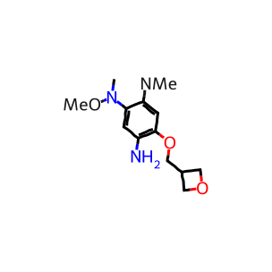 CNc1cc(OCC2COC2)c(N)cc1N(C)OC